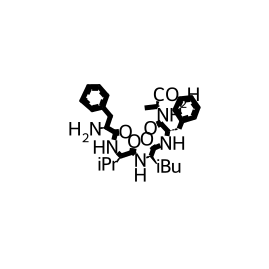 CC[C@H](C)[C@H](NC(=O)[C@@H](NC(=O)[C@H](N)Cc1ccccc1)C(C)C)C(=O)N[C@@H](Cc1ccccc1)C(=O)N[C@@H](C)C(=O)O